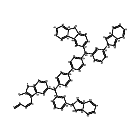 C=C/C=C\c1c(C)sc2ccc(N(c3ccc(-c4ccc(N(c5cccc(-n6nc7ccccc7n6)c5)c5ccc6sc7ccccc7c6c5)cc4)cc3)c3cccc(-n4nc5ccccc5n4)c3)cc12